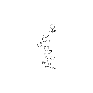 COC(=O)NC(C(=O)N1CCC[C@H]1c1nc2ccc([C@H]3CCCN3c3cc(F)c(N4CCC(F)(c5ccccc5)CC4)c(F)c3)cc2[nH]1)C(C)C